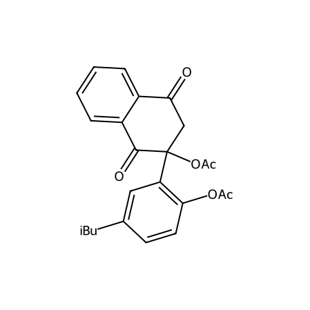 CCC(C)c1ccc(OC(C)=O)c(C2(OC(C)=O)CC(=O)c3ccccc3C2=O)c1